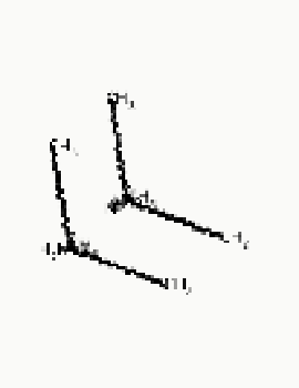 CCCCCCCCCCCCCCCCCCCCOCC(C)(CN)COCCCCCCCCCCCCCCCCCCCC.CCCCCCCCCCCCCCCCCCCCOCC(C)(CN=[N+]=[N-])COCCCCCCCCCCCCCCCCCCCC